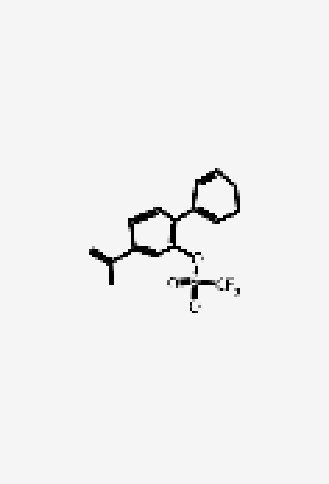 C=C(C)c1ccc(C2=CCCC=C2)c(OS(=O)(=O)C(F)(F)F)c1